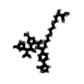 Cc1cc(C(C(=O)N2C[C@H](O)C[C@H]2C(=O)NC(COCCOCCOCCN(C)C(=O)O)c2ccc(-c3scnc3C)cc2)C(C)C)on1